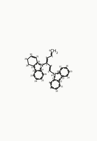 C=C/C=C(\C=C\n1c2ccccc2c2ccccc21)n1c2c(c3ccccc31)CCC=C2